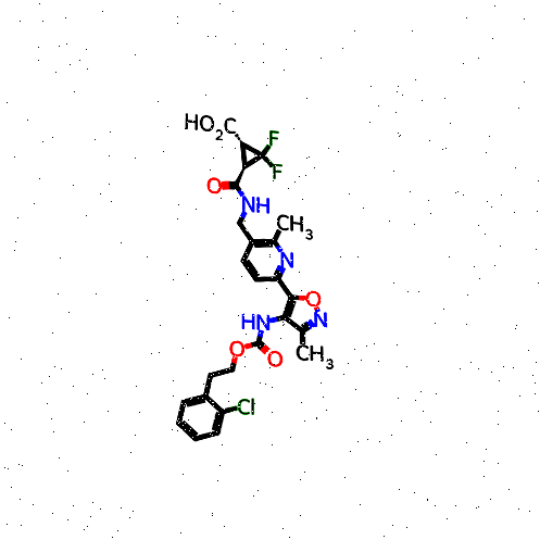 Cc1nc(-c2onc(C)c2NC(=O)OCCc2ccccc2Cl)ccc1CNC(=O)[C@H]1[C@H](C(=O)O)C1(F)F